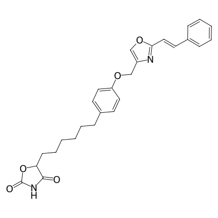 O=C1NC(=O)C(CCCCCCc2ccc(OCc3coc(C=Cc4ccccc4)n3)cc2)O1